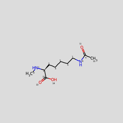 CN[C@@H](CCCCCNC(C)=O)C(=O)O